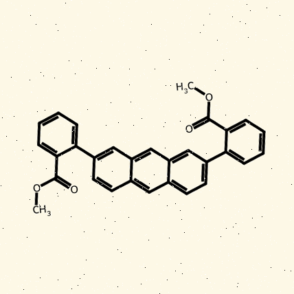 COC(=O)c1ccccc1-c1ccc2cc3ccc(-c4ccccc4C(=O)OC)cc3cc2c1